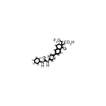 O=C(O)CC1(CC(F)(F)F)CCc2cc(-c3cnc(NC(=O)NC4CCCCC4)cn3)ccc2C1=O